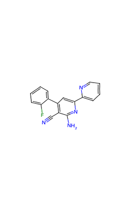 N#Cc1c(-c2ccccc2F)cc(-c2ccccn2)nc1N